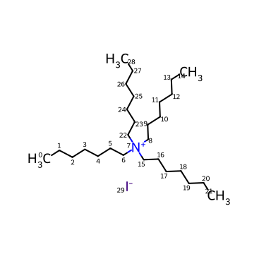 CCCCCCC[N+](CCCCCCC)(CCCCCCC)CCCCCCC.[I-]